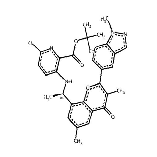 Cc1cc([C@@H](C)Nc2ccc(Cl)nc2C(=O)OC(C)(C)C)c2oc(-c3ccc4c(cnn4C)c3)c(C)c(=O)c2c1